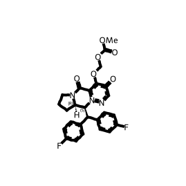 COC(=O)OCOc1c2n(ncc1=O)[C@@H](C(c1ccc(F)cc1)c1ccc(F)cc1)[C@H]1CCCN1C2=O